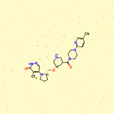 N#Cc1ccc(N2CCN(C(=O)C3CNC[C@@H](OC[C@@H]4CCCN4c4cn[nH]c(=O)c4C(F)(F)F)C3)CC2)nc1